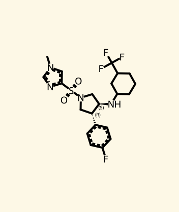 Cn1cnc(S(=O)(=O)N2C[C@@H](NC3CCCC(C(F)(F)F)C3)[C@H](c3ccc(F)cc3)C2)c1